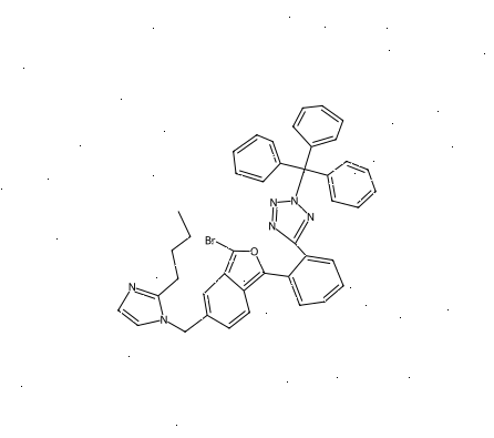 CCCCc1nccn1Cc1ccc2c(-c3ccccc3-c3nnn(C(c4ccccc4)(c4ccccc4)c4ccccc4)n3)oc(Br)c2c1